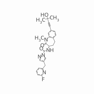 CN1C(=O)[C@H](NC(=O)n2cc(Cc3cccc(F)n3)cn2)CCc2ccc(C#CC(C)(C)O)cc21